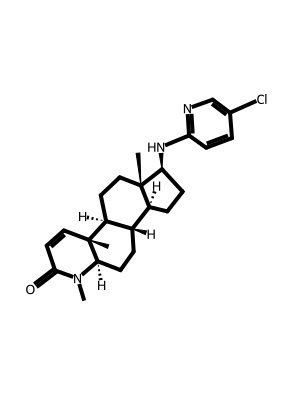 CN1C(=O)C=C[C@]2(C)[C@H]3CC[C@]4(C)[C@@H](Nc5ccc(Cl)cn5)CC[C@H]4[C@@H]3CC[C@@H]12